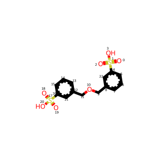 O=S(=O)(O)c1cccc(COCc2cccc(S(=O)(=O)O)c2)c1